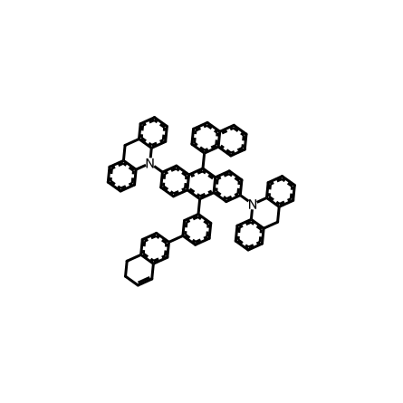 C1=Cc2cc(-c3cccc(-c4c5cc(N6c7ccccc7Cc7ccccc76)ccc5c(-c5cccc6ccccc56)c5cc(N6c7ccccc7Cc7ccccc76)ccc45)c3)ccc2CC1